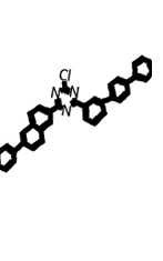 Clc1nc(-c2cccc(-c3ccc(-c4ccccc4)cc3)c2)nc(-c2ccc3cc(-c4ccccc4)ccc3c2)n1